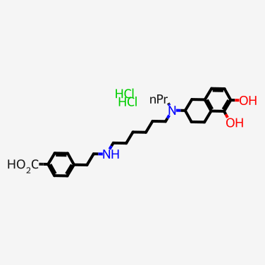 CCCN(CCCCCCNCCc1ccc(C(=O)O)cc1)C1CCc2c(ccc(O)c2O)C1.Cl.Cl